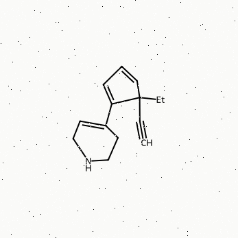 C#CC1(CC)C=CC=C1C1=CCNCC1